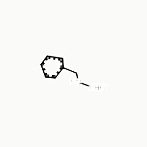 O=CNCc1[c]cccc1